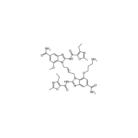 CCc1nc(C)oc1C(=O)Nc1nc2cc(C(N)=O)cc(OC)c2n1C/C=C/Cn1c(NC(=O)c2oc(C)nc2CC)nc2cc(C(N)=O)cc(OCCCN)c21